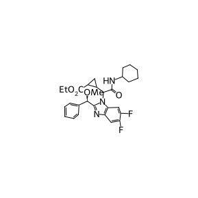 CCOC(=O)C1CC1C(C(=O)NC1CCCCC1)n1c([C@H](OC)c2ccccc2)nc2cc(F)c(F)cc21